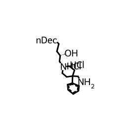 CCCCCCCCCCCC[C@H](O)CN1CCC(CN)(c2ccccc2)CC1.Cl.Cl